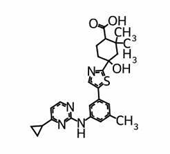 Cc1cc(Nc2nccc(C3CC3)n2)cc(-c2cnc(C3(O)CCC(C(=O)O)C(C)(C)C3)s2)c1